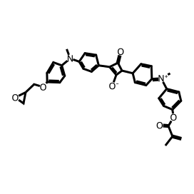 C=C(C)C(=O)Oc1ccc([N+](C)=C2C=CC(C3C(=O)C(c4ccc(N(C)c5ccc(OCC6CO6)cc5)cc4)=C3[O-])C=C2)cc1